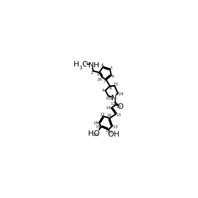 CNCc1cccc(C2CCN(C(=O)/C=C/c3ccc(O)c(O)c3)CC2)c1